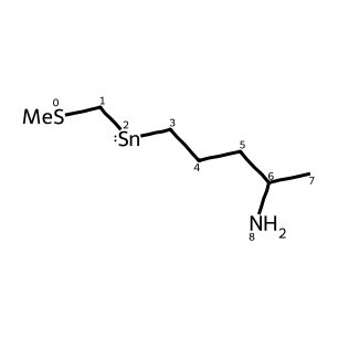 CS[CH2][Sn][CH2]CCC(C)N